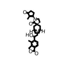 CC1=C(N2CC[C@@]3(C[C@H]4CC[C@@H](C3)N4C[C@H](O)c3ccc4c(c3C)COC4=O)C2=O)CCC1=O